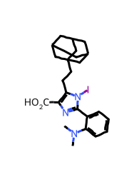 CN(C)c1ccccc1-c1nc(C(=O)O)c(CCC23CC4CC(CC(C4)C2)C3)n1I